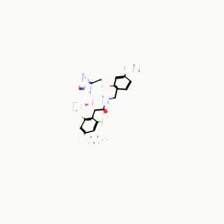 CCOC(C(=O)NCc1ccc(C#N)cc1OCc1ncon1)c1c(F)cc(OC)cc1F